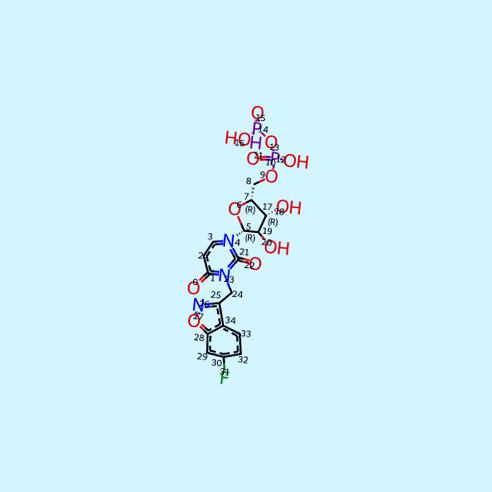 O=c1ccn([C@@H]2O[C@H](COP(=O)(O)O[PH](=O)O)[C@H](O)C2O)c(=O)n1Cc1noc2cc(F)ccc12